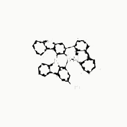 CC(C)(C)c1cc2c3c(c1)c1ccccc1n3-c1c3c(cc4oc5ccccc5c14)-c1cccc4c5ccccc5n(c14)B32